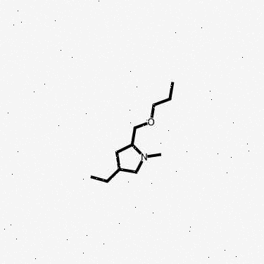 CCCOCC1CC(CC)CN1C